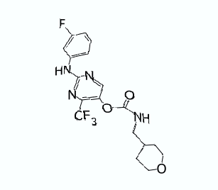 O=C(NCC1CCOCC1)Oc1cnc(Nc2cccc(F)c2)nc1C(F)(F)F